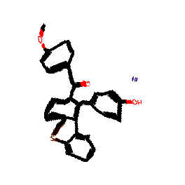 COc1ccc(C(=O)c2ccc3sc4ccccc4c3c2-c2ccc(O)cc2)cc1.I